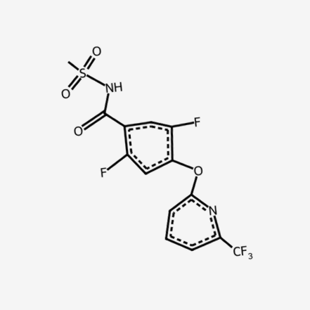 CS(=O)(=O)NC(=O)c1cc(F)c(Oc2cccc(C(F)(F)F)n2)cc1F